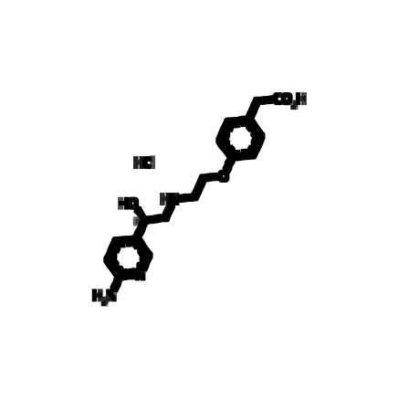 Cl.Nc1ccc([C@@H](O)CNCCOc2ccc(CC(=O)O)cc2)cn1